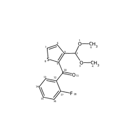 COC(OC)c1ccsc1C(=O)c1ccccc1F